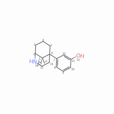 C[C@H]1C2CCCC1(c1cccc(O)c1)CCN2